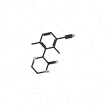 Cc1ccc(C#N)c(C)c1C1OCCNC1=O